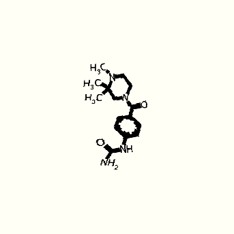 CN1CCN(C(=O)c2ccc(NC(N)=O)cc2)CC1(C)C